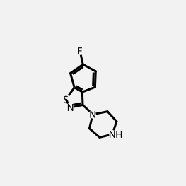 Fc1ccc2c(N3CCNCC3)nsc2c1